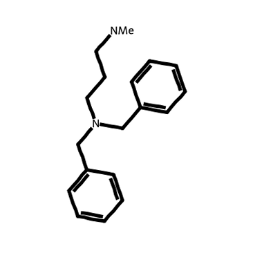 CNCCCN(Cc1ccccc1)Cc1ccccc1